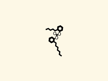 CCCCCCCc1ccccc1OC(=O)Oc1ccccc1CCCCC